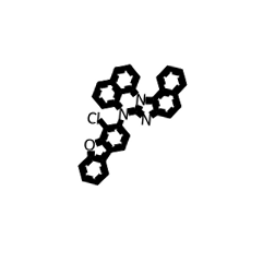 Clc1c(-n2c3cccc4cccc(c43)n3c4c(ccc5ccccc54)nc23)ccc2c1oc1ccccc12